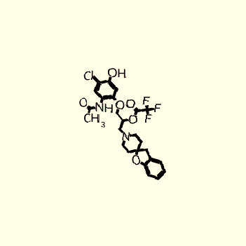 CC(=O)Nc1cc(Cl)c(O)cc1OC[C@H](CN1CCC2(CC1)Cc1ccccc1O2)OC(=O)C(F)(F)F